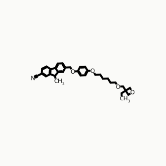 CCC1(COCCCCCCOc2ccc(OCc3ccc4c(c3)C(C)c3cc(C#N)ccc3-4)cc2)COC1